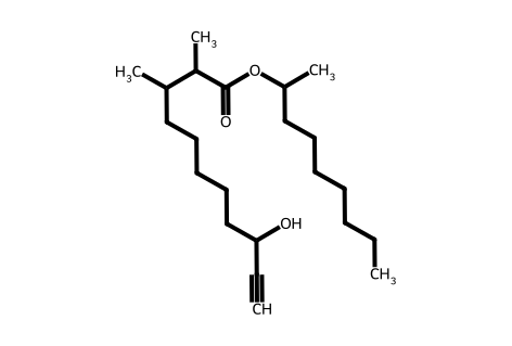 C#CC(O)CCCCCC(C)C(C)C(=O)OC(C)CCCCCCC